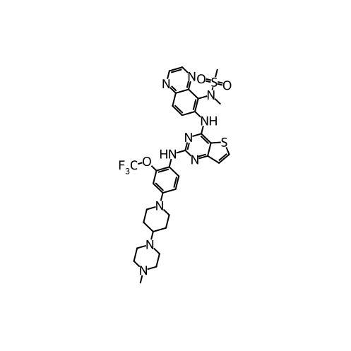 CN1CCN(C2CCN(c3ccc(Nc4nc(Nc5ccc6nccnc6c5N(C)S(C)(=O)=O)c5sccc5n4)c(OC(F)(F)F)c3)CC2)CC1